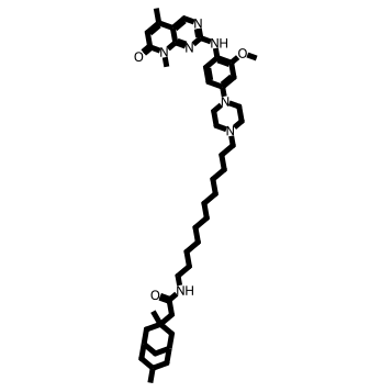 COc1cc(N2CCN(CCCCCCCCCCCCNC(=O)CC3(C)CC4CC(C)CC(C4)C3)CC2)ccc1Nc1ncc2c(C)cc(=O)n(C)c2n1